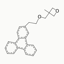 CC1(COCCc2ccc3c4ccccc4c4ccccc4c3c2)COC1